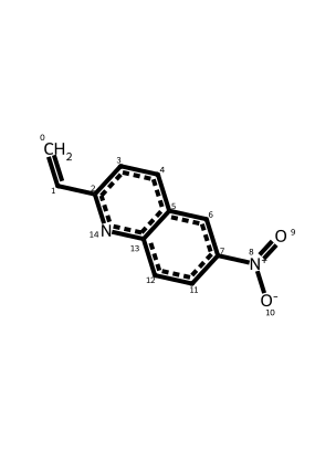 C=Cc1ccc2cc([N+](=O)[O-])ccc2n1